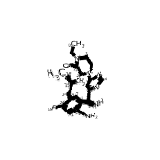 CCN1CCN(c2cc(C(=N)c3cc(CC(C)C)c(F)cc3N)ncn2)CC1=O